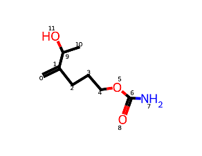 C=C(CCCOC(N)=O)C(C)O